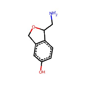 NCC1OCc2cc(O)ccc21